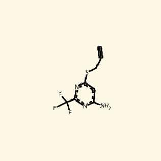 C#CCSc1cc(N)nc(C(F)(F)F)n1